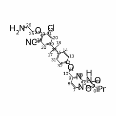 CC(C)S(=O)(=O)Nc1nccc(COc2ccc(C(C)(C)c3cc(Cl)c(OCCN)c(C#N)c3)cc2)n1